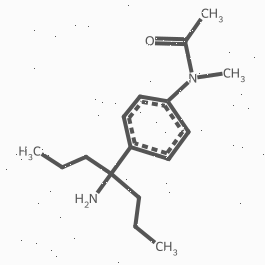 CCCC(N)(CCC)c1ccc(N(C)C(C)=O)cc1